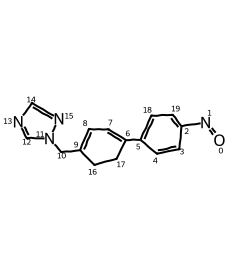 O=Nc1ccc(C2=CC=C(Cn3cncn3)CC2)cc1